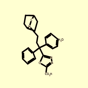 O.O=C(O)c1nnc(C(CCN2CC3CCC2CC3)(c2ccccc2)c2ccccc2)o1